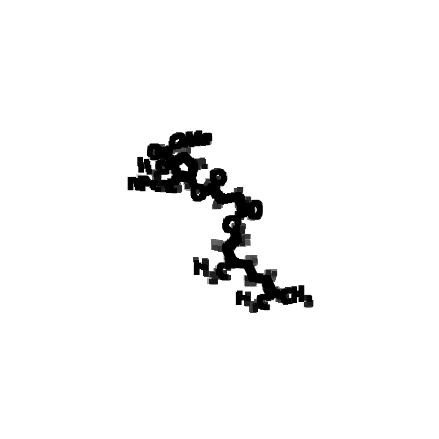 CCCCCC1=C(OC(=O)CCC(=O)OCCC(C)CCC=C(C)C)CCC1(C)C(=O)OC